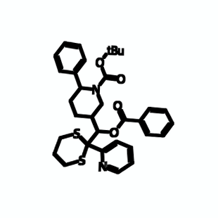 CC(C)(C)OC(=O)N1CC(C(OC(=O)c2ccccc2)C2(c3ccccn3)SCCCS2)CCC1c1ccccc1